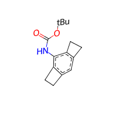 CC(C)(C)OC(=O)Nc1c2c(cc3c1CC3)CC2